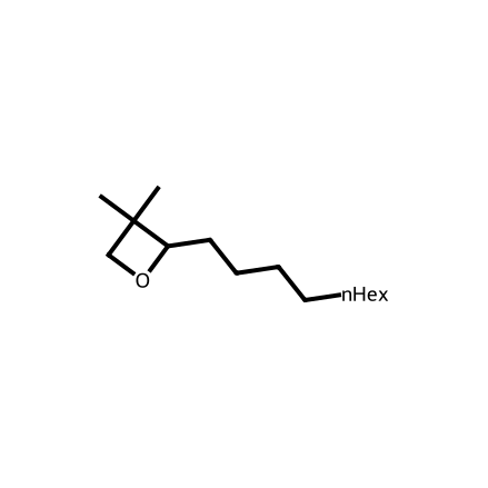 CCCCCCCCCCC1OCC1(C)C